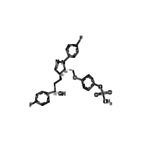 CS(=O)(=O)Oc1ccc(OC[C@@H]2[C@@H](CC[C@H](O)c3ccc(F)cc3)C=NN2c2ccc(F)cc2)cc1